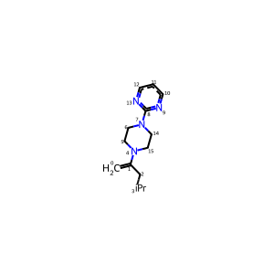 C=C(CC(C)C)N1CCN(c2ncccn2)CC1